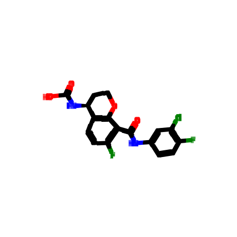 O=C(O)N[C@H]1CCOc2c1ccc(F)c2C(=O)Nc1ccc(F)c(Cl)c1